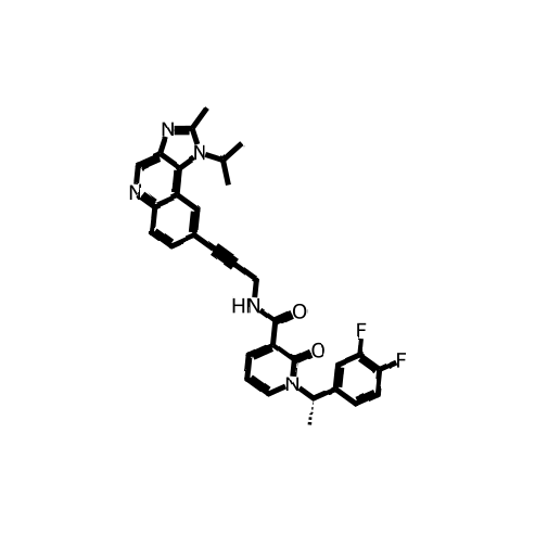 Cc1nc2cnc3ccc(C#CCNC(=O)c4cccn([C@@H](C)c5ccc(F)c(F)c5)c4=O)cc3c2n1C(C)C